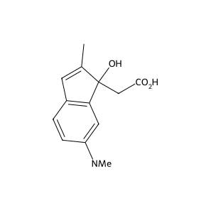 CNc1ccc2c(c1)C(O)(CC(=O)O)C(C)=C2